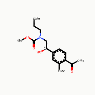 COCCN(C[C@H](O)c1ccc(C(=O)OC)c(OC)c1)C(=O)OC(C)(C)C